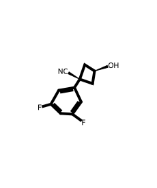 N#C[C@]1(c2cc(F)cc(F)c2)C[C@H](O)C1